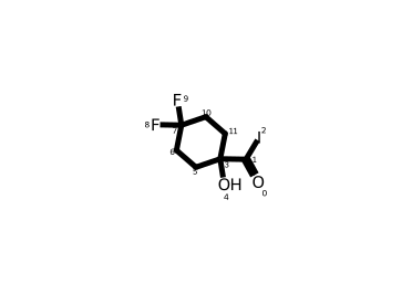 O=C(I)C1(O)CCC(F)(F)CC1